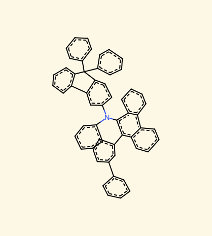 c1ccc(-c2cccc(-c3c(N(c4ccccc4)c4ccc5c(c4)-c4ccccc4C5(c4ccccc4)c4ccccc4)c4ccccc4c4ccccc34)c2)cc1